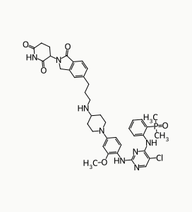 COc1cc(N2CCC(NCCCc3ccc4c(c3)CN(C3CCC(=O)NC3=O)C4=O)CC2)ccc1Nc1ncc(Cl)c(Nc2ccccc2P(C)(C)=O)n1